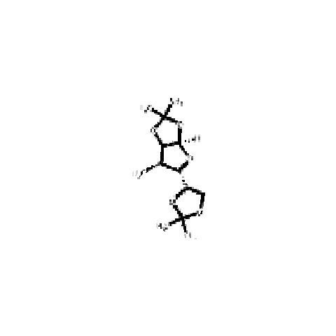 C[C@H]1C2OC(C)(C)O[C@H]2O[C@@H]1C1COC(C)(C)O1